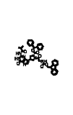 CC(C)C(=O)Nc1nc2c(ncn2C2C[C@H](C(=O)OC(c3ccccc3)c3ccccc3)N(C(=O)CNC(=O)OCC3c4ccccc4-c4ccccc43)C2)c(=O)[nH]1